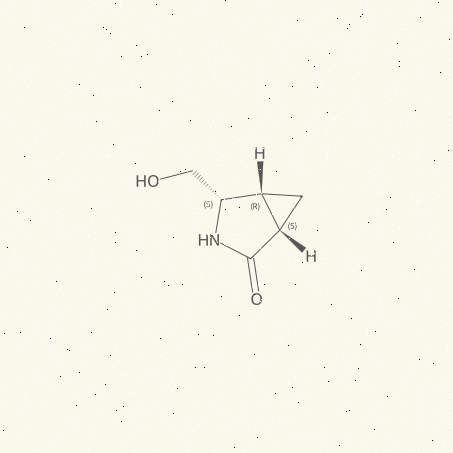 O=C1N[C@H](CO)[C@@H]2C[C@H]12